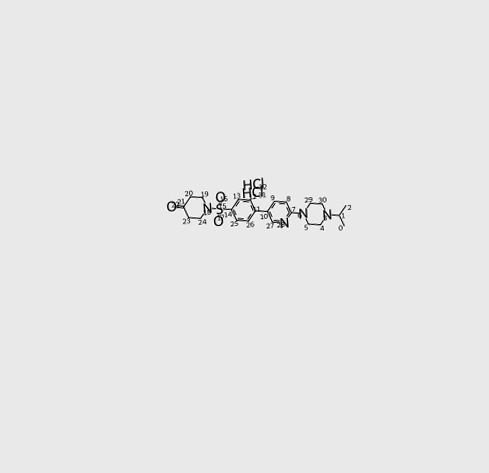 CC(C)N1CCN(c2ccc(-c3ccc(S(=O)(=O)N4CCC(=O)CC4)cc3)cn2)CC1.Cl.Cl